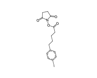 O=C(CCCCc1ccc(I)cc1)ON1C(=O)CCC1=O